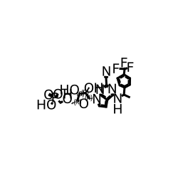 CC(Nc1nc(C#N)nc2c1ccn2[C@@H]1O[C@H](COCP(=O)(O)O)[C@@H](O)[C@H]1O)c1ccc(C(F)(F)F)cc1